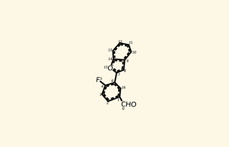 O=Cc1ccc(F)c(-c2cc3ccccc3o2)c1